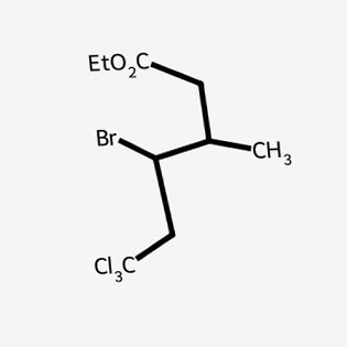 CCOC(=O)CC(C)C(Br)CC(Cl)(Cl)Cl